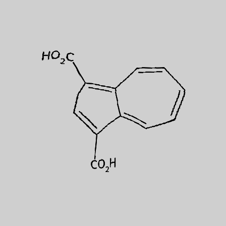 O=C(O)c1cc(C(=O)O)c2cccccc1-2